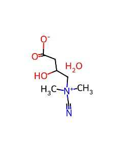 C[N+](C)(C#N)CC(O)CC(=O)[O-].O